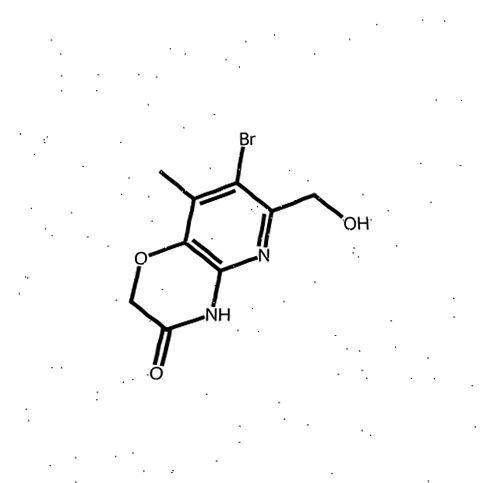 Cc1c(Br)c(CO)nc2c1OCC(=O)N2